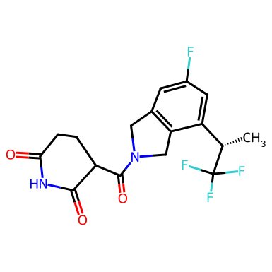 C[C@@H](c1cc(F)cc2c1CN(C(=O)C1CCC(=O)NC1=O)C2)C(F)(F)F